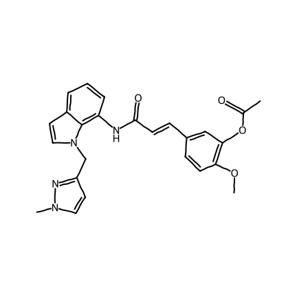 COc1ccc(C=CC(=O)Nc2cccc3ccn(Cc4ccn(C)n4)c23)cc1OC(C)=O